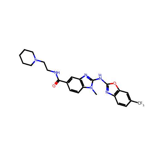 Cn1c(Nc2nc3ccc(C(F)(F)F)cc3o2)nc2cc(C(=O)NCCN3CCCCC3)ccc21